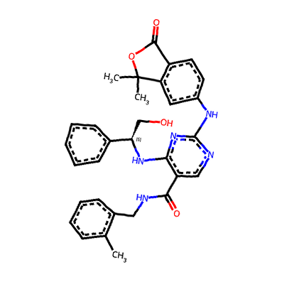 Cc1ccccc1CNC(=O)c1cnc(Nc2ccc3c(c2)C(C)(C)OC3=O)nc1N[C@H](CO)c1ccccc1